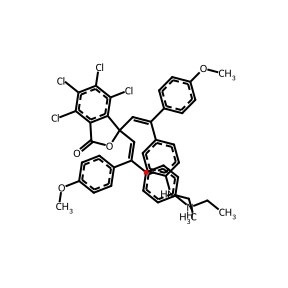 CCNc1ccc(C(=CC2(C=C(c3ccc(NCC)cc3)c3ccc(OC)cc3)OC(=O)c3c(Cl)c(Cl)c(Cl)c(Cl)c32)c2ccc(OC)cc2)cc1